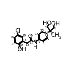 CC(CO)(CO)N1C=CC(NC(=O)Cc2cc(Cl)ccc2O)=CC1